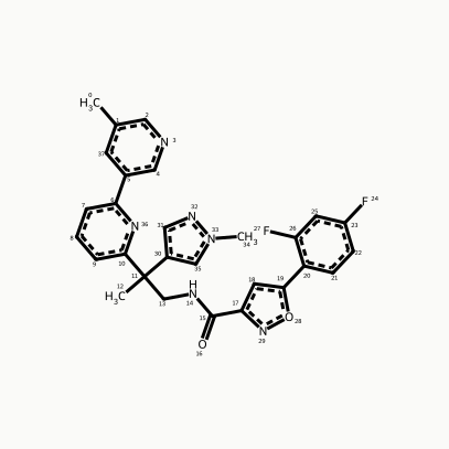 Cc1cncc(-c2cccc(C(C)(CNC(=O)c3cc(-c4ccc(F)cc4F)on3)c3cnn(C)c3)n2)c1